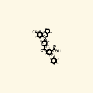 O=C(c1ccc(Oc2ccccc2)c(C(=O)O)c1)c1ccc(N(CC2CCCC2)c2ccc(Cl)cc2)cn1